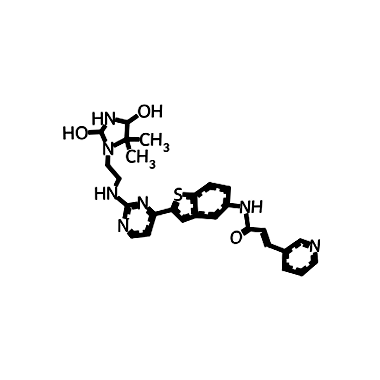 CC1(C)C(O)NC(O)N1CCNc1nccc(-c2cc3cc(NC(=O)C=Cc4cccnc4)ccc3s2)n1